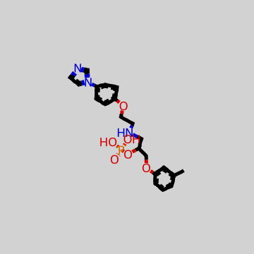 Cc1cccc(OCC(CNCCOc2ccc(-n3ccnc3)cc2)OP(=O)(O)O)c1